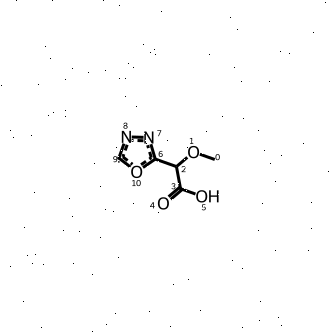 COC(C(=O)O)c1nn[c]o1